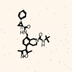 Cc1noc(C)c1-c1ccc(CNC(=O)[C@H]2C[C@@H]2c2ccccc2)c2c1CCN(C(=O)NC(C)(C)C)C2